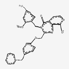 COc1cc(C)ccc1Cn1c(COc2ccc(Cc3ccccc3)cc2)nc2c(Cl)nccc2c1=O